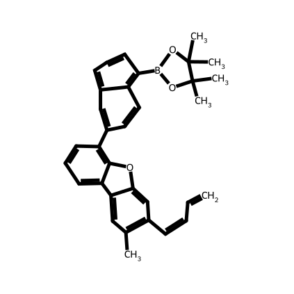 C=C/C=C\c1cc2oc3c(-c4ccc5c(B6OC(C)(C)C(C)(C)O6)cccc5c4)cccc3c2cc1C